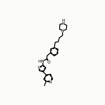 Cc1cc(-c2csc(NC(=O)Cc3cccc(CCCCN4CCNCC4)c3)c2)ccn1